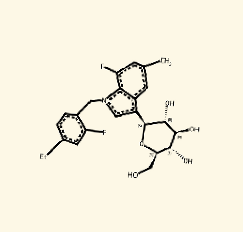 CCc1ccc(Cn2cc([C@@H]3O[C@H](CO)[C@@H](O)[C@H](O)[C@H]3O)c3cc(C)cc(F)c32)c(F)c1